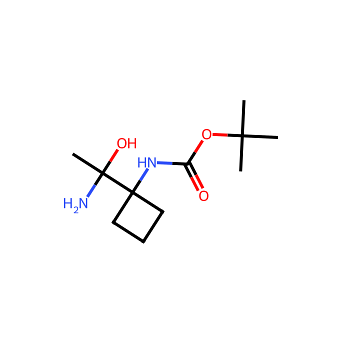 CC(C)(C)OC(=O)NC1(C(C)(N)O)CCC1